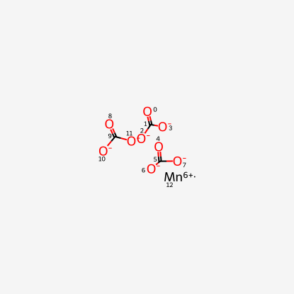 O=C([O-])[O-].O=C([O-])[O-].O=C([O-])[O-].[Mn+6]